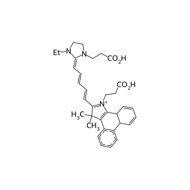 CCN1CCN(CCC(=O)O)\C1=C/C=C/C=C/C1=[N+](CCC(=O)O)C2=C(c3ccccc3C3C=CC=CC23)C1(C)C